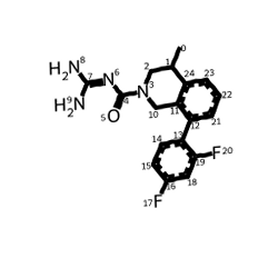 CC1CN(C(=O)N=C(N)N)Cc2c(-c3ccc(F)cc3F)cccc21